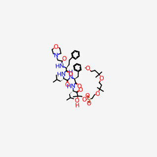 COCCC(C)(C)OCCC(C)(C)OCCS(=O)(=O)OCC(C)(O)C(=O)[C@H](CC(C)C)NC(=O)[C@H](Cc1ccccc1)NC(=O)[C@H](CC(C)C)NC(=O)[C@H](CCc1ccccc1)NC(=O)CN1CCOCC1